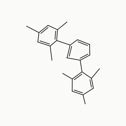 Cc1cc(C)c(-c2[c]c(-c3c(C)cc(C)cc3C)ccc2)c(C)c1